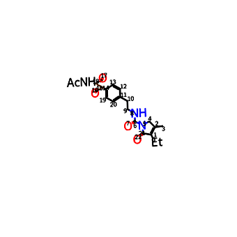 CCC1=C(C)CN(C(=O)NCCc2ccc(S(=O)(=O)NC(C)=O)cc2)C1=O